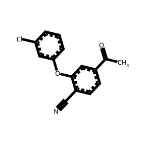 CC(=O)c1ccc(C#N)c(Oc2cccc(Cl)c2)c1